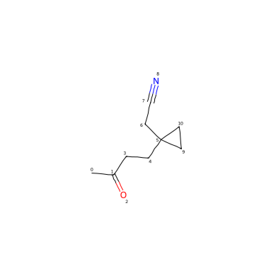 CC(=O)CCC1(CC#N)CC1